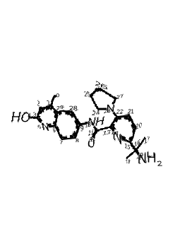 Cc1cc(O)nc2ccc(NC(=O)c3nc(C(C)(C)N)ccc3N3CCCC3)cc12